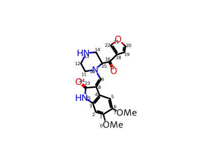 COc1cc2c(cc1OC)C(=CN1CCNCC1C(=O)c1ccoc1)C(=O)N2